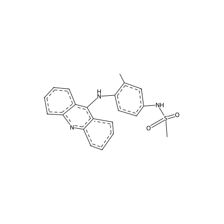 Cc1cc(NS(C)(=O)=O)ccc1Nc1c2ccccc2nc2ccccc12